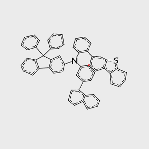 c1ccc(C2(c3ccccc3)c3ccccc3-c3ccc(N(c4cccc(-c5cccc6ccccc56)c4)c4ccccc4-c4ccc5c(c4)sc4ccccc45)cc32)cc1